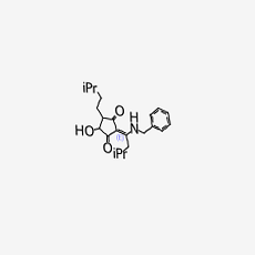 CC(C)CCC1C(=O)/C(=C(/CC(C)C)NCc2ccccc2)C(=O)C1O